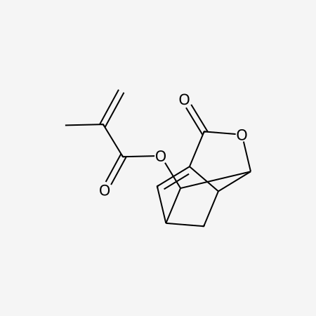 C=C(C)C(=O)OC1C2C=C3C(=O)OC1C3C2